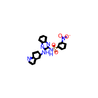 O=[N+]([O-])c1cccc(S(=O)(=O)Nc2nc3ccccc3nc2Nc2ccc3ncccc3c2)c1